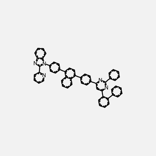 c1ccc(-c2nc(-c3ccc(-c4ccc(-c5ccc(-n6c(-c7ccccn7)nc7ccccc76)cc5)c5ccccc45)cc3)cc(-c3ccccc3-c3ccccc3)n2)cc1